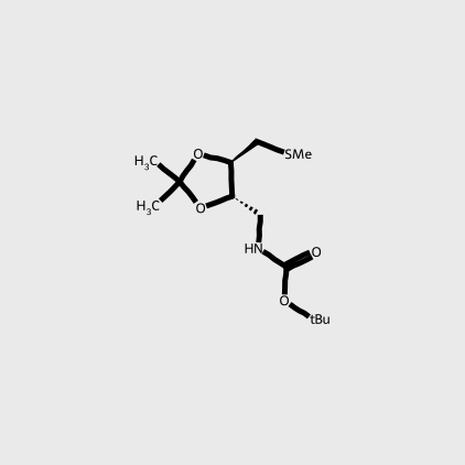 CSC[C@@H]1OC(C)(C)O[C@H]1CNC(=O)OC(C)(C)C